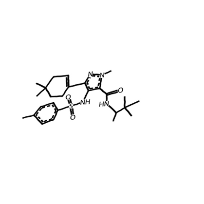 Cc1ccc(S(=O)(=O)Nc2c(C3=CCC(C)(C)CC3)nn(C)c2C(=O)NC(C)C(C)(C)C)cc1